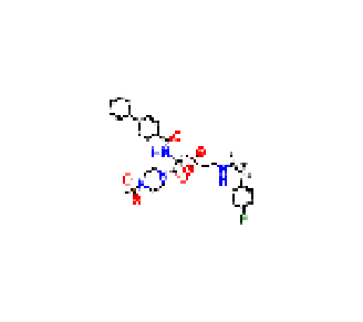 C[C@@]1(NCCS(=O)(=O)C[C@@H](NC(=O)c2ccc(-c3ccccc3)cc2)C(=O)N2CCN(S(C)(=O)=O)CC2)C[C@H]1c1ccc(F)cc1